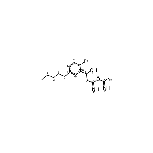 CCCCCc1ccc(F)c(C(O)CC(=N)OC(C)=N)c1